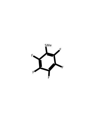 CSc1c(F)c(F)c(F)c(F)c1F